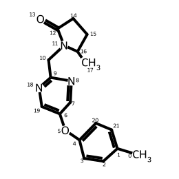 Cc1ccc(Oc2cnc(CN3C(=O)CCC3C)nc2)cc1